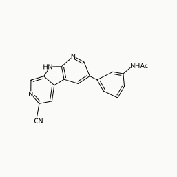 CC(=O)Nc1cccc(-c2cnc3[nH]c4cnc(C#N)cc4c3c2)c1